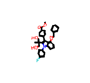 COC(=O)c1ccc(-c2c(C(C)(CO)CO)n(-c3ccc(F)cc3)c3cccc(OCc4ccccc4)c23)cc1